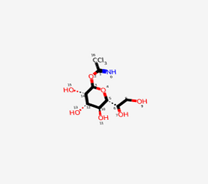 N=C(OC1O[C@H](C(O)CO)[C@@H](O)[C@H](O)[C@@H]1O)C(Cl)(Cl)Cl